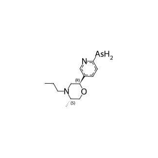 CCCN1C[C@@H](c2ccc([AsH2])nc2)OC[C@@H]1C